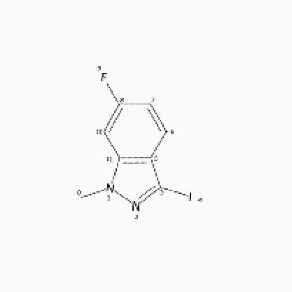 Cn1nc(I)c2ccc(F)cc21